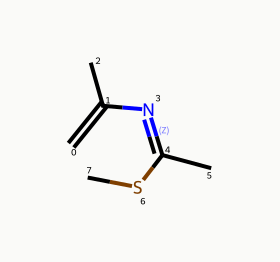 C=C(C)/N=C(/C)SC